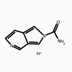 NC(=O)n1cc2ccncc2c1.[H+]